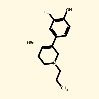 Br.CCCN1CCC=C(c2ccc(O)c(O)c2)C1